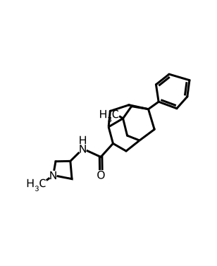 CN1CC(NC(=O)C2CC3CC4(c5ccccc5)CCC2C(C)(C3)C4)C1